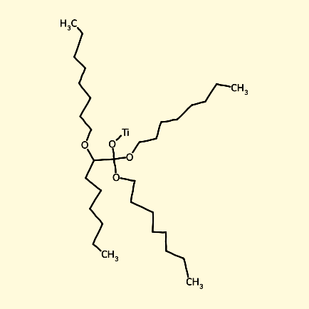 CCCCCCCCOC(CCCCCC)C([O][Ti])(OCCCCCCCC)OCCCCCCCC